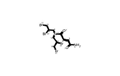 NC(=O)CCC(=O)N(CC(Br)CBr)CC(Br)CBr